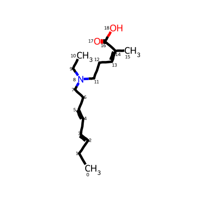 CCC=CC=CCCN(CC)CCC=C(C)C(=O)O